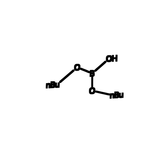 CCCCOB(O)OCCCC